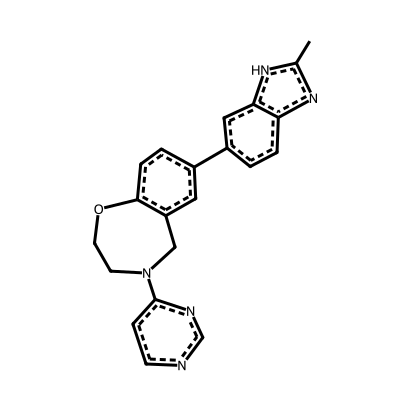 Cc1nc2ccc(-c3ccc4c(c3)CN(c3ccncn3)CCO4)cc2[nH]1